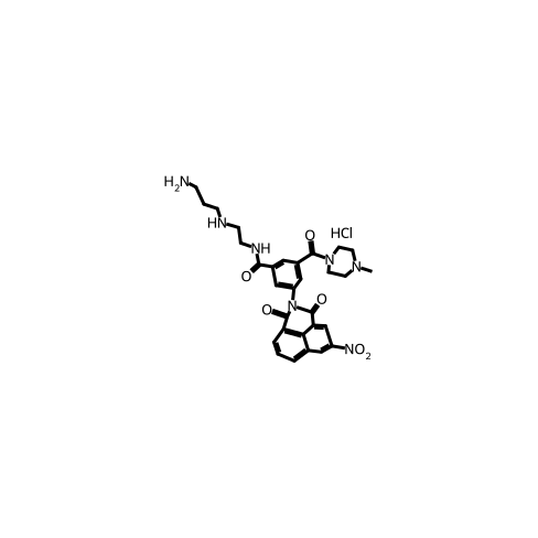 CN1CCN(C(=O)c2cc(C(=O)NCCNCCCN)cc(N3C(=O)c4cccc5cc([N+](=O)[O-])cc(c45)C3=O)c2)CC1.Cl